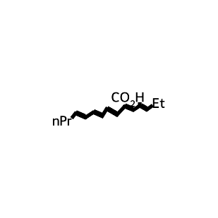 CC/C=C(/C=C/C=C/C=C/C=C/CCC)C(=O)O